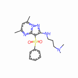 Cc1cc(C)n2nc(NCCCN(C)C)c(S(=O)(=O)c3ccccc3)c2n1